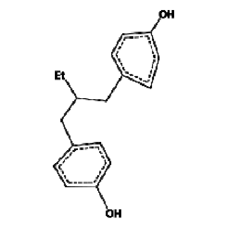 CCC(Cc1ccc(O)cc1)Cc1ccc(O)cc1